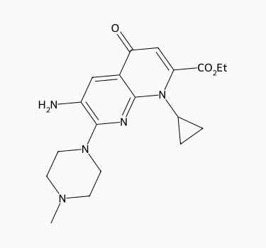 CCOC(=O)c1cc(=O)c2cc(N)c(N3CCN(C)CC3)nc2n1C1CC1